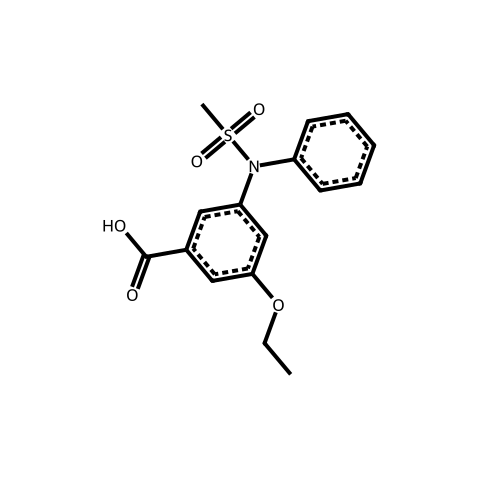 CCOc1cc(C(=O)O)cc(N(c2ccccc2)S(C)(=O)=O)c1